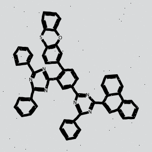 c1ccc(-c2nc(-c3ccccc3)nc(-c3cc(-c4nc(-c5ccccc5)nc(-c5cc6ccccc6c6ccccc56)n4)ccc3-c3ccc4c(c3)Oc3ccccc3S4)n2)cc1